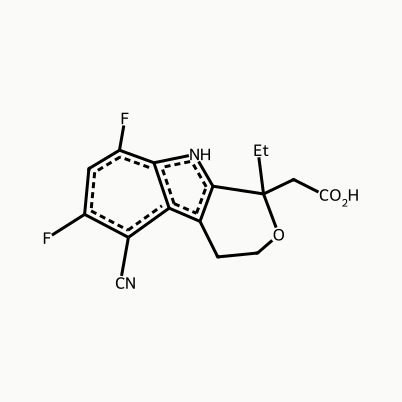 CCC1(CC(=O)O)OCCc2c1[nH]c1c(F)cc(F)c(C#N)c21